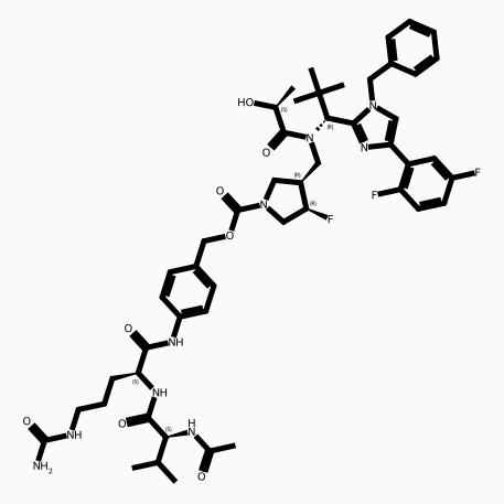 CC(=O)N[C@H](C(=O)N[C@@H](CCCNC(N)=O)C(=O)Nc1ccc(COC(=O)N2C[C@@H](CN(C(=O)[C@H](C)O)[C@@H](c3nc(-c4cc(F)ccc4F)cn3Cc3ccccc3)C(C)(C)C)[C@@H](F)C2)cc1)C(C)C